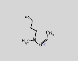 C/C=N\N(C)CCCC(C)=O